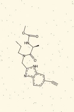 C#Cc1ccc2nc(CN(CCC)C(=O)[C@H](C)NC(=O)OC)[nH]c2c1